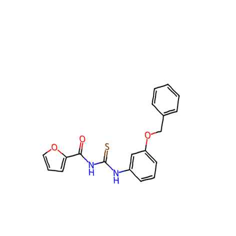 O=C(NC(=S)Nc1cccc(OCc2ccccc2)c1)c1ccco1